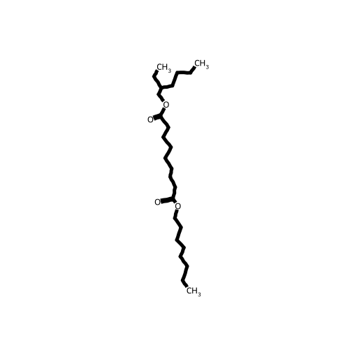 CCCCCCCCOC(=O)CCCCCCCC(=O)OCC(CC)CCCC